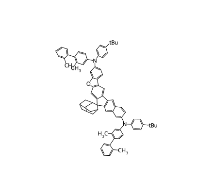 Cc1ccccc1-c1ccc(N(c2ccc(C(C)(C)C)cc2)c2ccc3cc4c(cc3c2)C2(c3cc5oc6cc(N(c7ccc(C(C)(C)C)cc7)c7ccc(-c8ccccc8C)c(C)c7)ccc6c5cc3-4)C3CC4CC(C3)CC2C4)cc1C